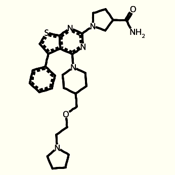 NC(=O)C1CCN(c2nc(N3CCC(COCCN4CCCC4)CC3)c3c(-c4ccccc4)csc3n2)C1